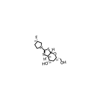 OC[C@@H]1C[C@H](O)[C@H]2N=C(N3CC[C@H](F)C3)S[C@H]2O1